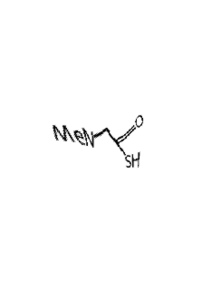 CNCC(=O)S